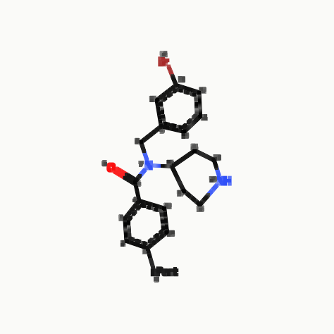 CCCCCc1ccc(C(=O)N(Cc2cccc(Br)c2)C2CCNCC2)cc1